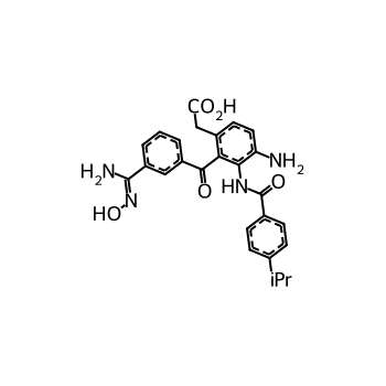 CC(C)c1ccc(C(=O)Nc2c(N)ccc(CC(=O)O)c2C(=O)c2cccc(C(N)=NO)c2)cc1